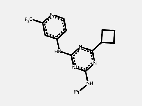 CC(C)Nc1nc(Nc2ccnc(C(F)(F)F)c2)nc(C2CCC2)n1